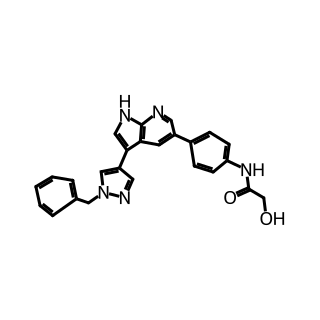 O=C(CO)Nc1ccc(-c2cnc3[nH]cc(-c4cnn(Cc5ccccc5)c4)c3c2)cc1